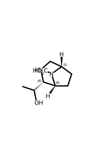 CC(O)[C@@H]1NC[C@@H]2CC[C@H]1N2C(=O)O